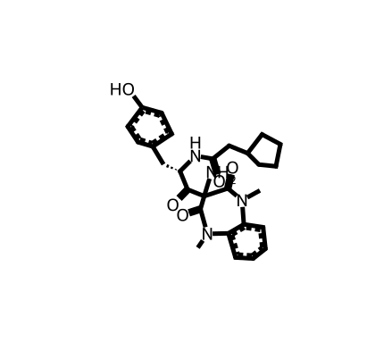 CN1C(=O)C(N)(C(=O)[C@H](Cc2ccc(O)cc2)NC(=O)CC2CCCC2)C(=O)N(C)c2ccccc21